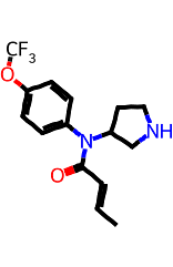 CC=CC(=O)N(c1ccc(OC(F)(F)F)cc1)C1CCNC1